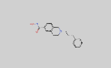 O=C(NO)c1ccc2c(c1)CCN(CCCc1ccccc1)C2